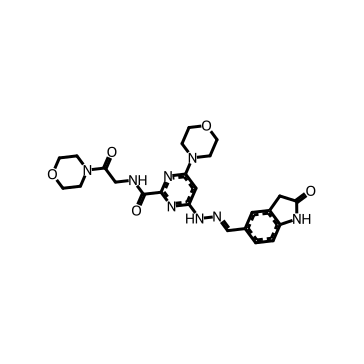 O=C1Cc2cc(C=NNc3cc(N4CCOCC4)nc(C(=O)NCC(=O)N4CCOCC4)n3)ccc2N1